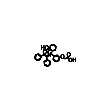 O=C(O)COc1cccc(C[C@H]2CCCC[C@@]2(O)c2nc(-c3ccccc3)c(-c3ccccc3)o2)c1